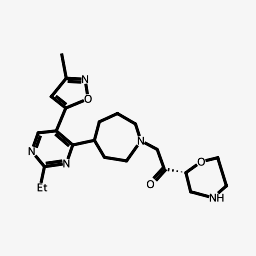 CCc1ncc(-c2cc(C)no2)c(C2CCCN(CC(=O)[C@H]3CNCCO3)CC2)n1